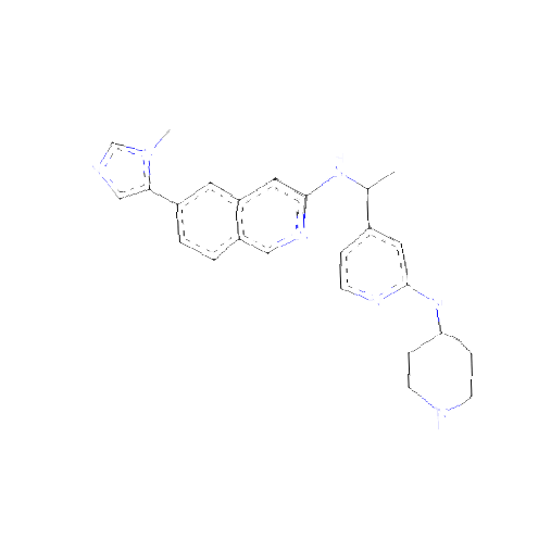 CC(Nc1cc2cc(-c3cncn3C)ccc2cn1)c1ccnc(NC2CCNCC2)c1